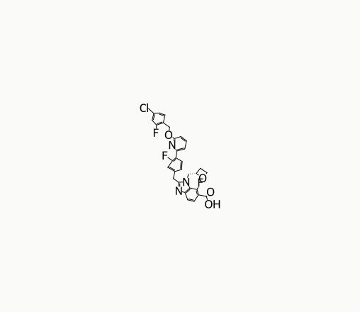 O=C(O)c1ccc2nc(Cc3ccc(-c4cccc(OCc5ccc(Cl)cc5F)n4)c(F)c3)n(C[C@@H]3CCO3)c2c1F